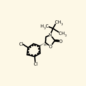 CC(C)(C)N1C[C@@H](c2cc(Cl)cc(Cl)c2)OC1=O